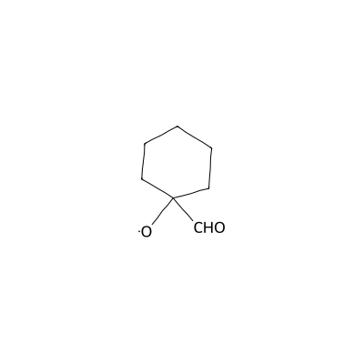 [O]C1(C=O)CCCCC1